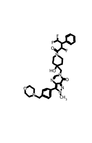 Cn1nc2c(=O)n(CC3(O)CCN(C(=O)C(F)C(c4ccccc4)C(F)F)CC3)cnc2c1-c1ccc(CN2CCOCC2)cc1